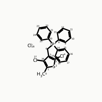 Cc1sc(Cl)c(C[P+](c2ccccc2)(c2ccccc2)c2ccccc2)c1Cl.[Cl-]